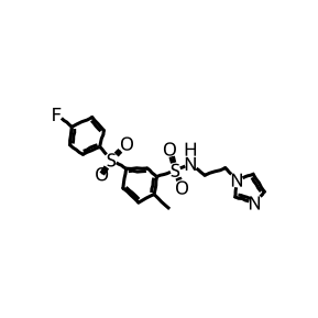 Cc1ccc(S(=O)(=O)c2ccc(F)cc2)cc1S(=O)(=O)NCCn1ccnc1